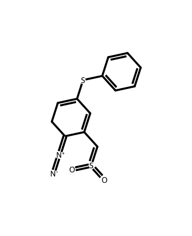 [N-]=[N+]=C1CC=C(Sc2ccccc2)C=C1C=S(=O)=O